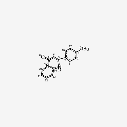 CC(C)(C)c1ccc(-c2cc(=O)n3ccccc3n2)cc1